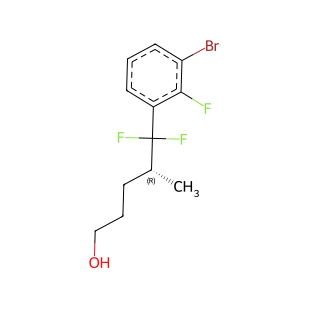 C[C@H](CCCO)C(F)(F)c1cccc(Br)c1F